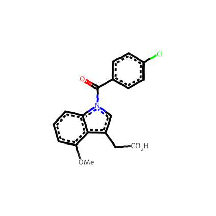 COc1cccc2c1c(CC(=O)O)cn2C(=O)c1ccc(Cl)cc1